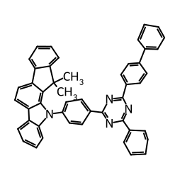 CC1(C)c2ccccc2-c2ccc3c4ccccc4n(-c4ccc(-c5nc(-c6ccccc6)nc(-c6ccc(-c7ccccc7)cc6)n5)cc4)c3c21